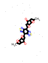 Cc1cc2c(o1)-c1oc(-c3c4c(c(-c5cc6c(o5)-c5oc(C)cc5C6=O)c5nsnc35)N=S=N4)cc1C2=O